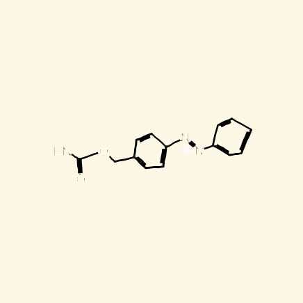 [NH]C(=O)OCc1ccc(/N=N/c2ccccc2)cc1